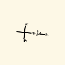 CC(C)C(C)(N)C(C)C.CCN